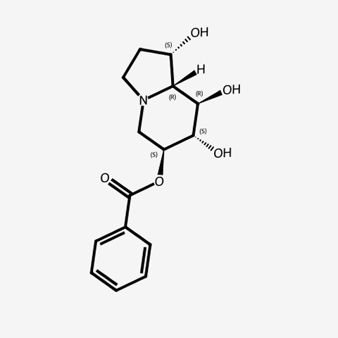 O=C(O[C@H]1CN2CC[C@H](O)[C@@H]2[C@@H](O)[C@@H]1O)c1ccccc1